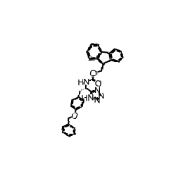 O=C(N[C@@H](Cc1ccc(OCc2ccccc2)cc1)c1nnn[nH]1)OCC1c2ccccc2-c2ccccc21